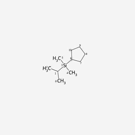 CC(C)[Si](C)(C)[C]1CCCC1